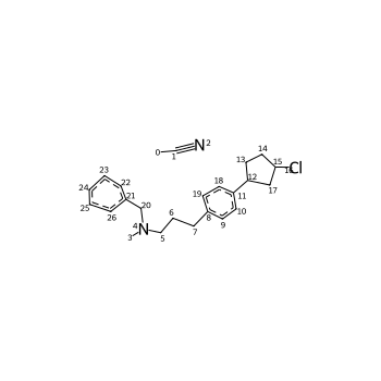 CC#N.CN(CCCc1ccc(C2CCC(Cl)C2)cc1)Cc1ccccc1